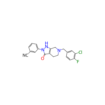 N#Cc1cccc(-n2[nH]c3c(c2=O)CCN(Cc2ccc(F)c(Cl)c2)C3)c1